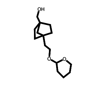 OCC12CCC(CCOC3CCCCO3)(CC1)C2